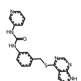 O=C(Nc1cccnc1)Nc1cccc(CSc2ncnc3[nH]ncc23)c1